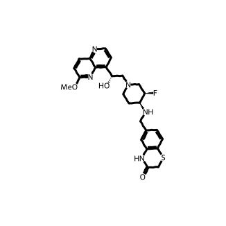 COc1ccc2nccc([C@@H](O)CN3CC[C@H](NCc4ccc5c(c4)NC(=O)CS5)[C@H](F)C3)c2n1